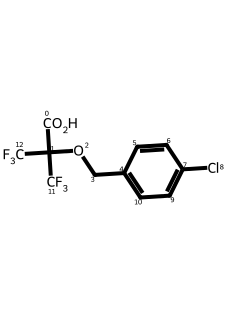 O=C(O)C(OCc1ccc(Cl)cc1)(C(F)(F)F)C(F)(F)F